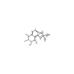 CCC(C)c1cccc(OP(=O)(O)O)c1C(C)CC